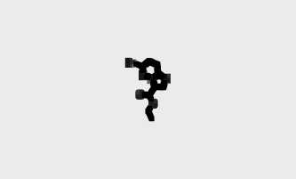 CCOC(=O)c1cnc2ccc(Br)nn12